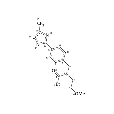 CCC(=O)N(CCOC)Cc1ccc(-c2noc(C(F)(F)F)n2)cc1